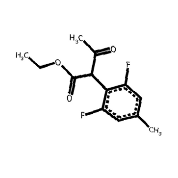 CCOC(=O)C(C(C)=O)c1c(F)cc(C)cc1F